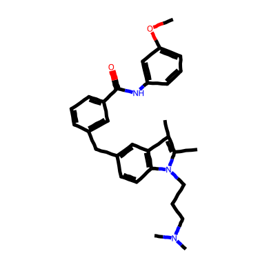 COc1cccc(NC(=O)c2cccc(Cc3ccc4c(c3)c(C)c(C)n4CCCN(C)C)c2)c1